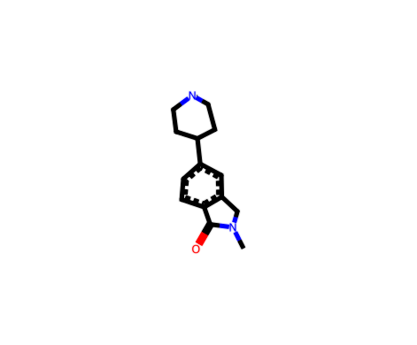 CN1Cc2cc(C3CC[N]CC3)ccc2C1=O